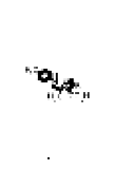 C[C@@H](CNc1ccc(C(F)(F)F)cc1)n1ncc(Br)c1C(=O)O